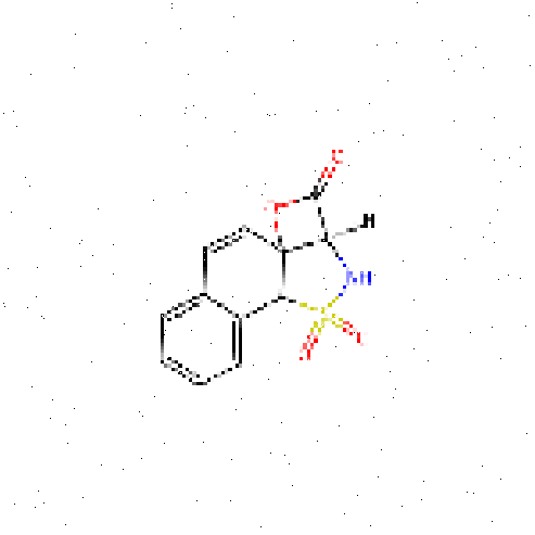 O=C1OC23C=Cc4ccccc4C2S(=O)(=O)N[C@H]13